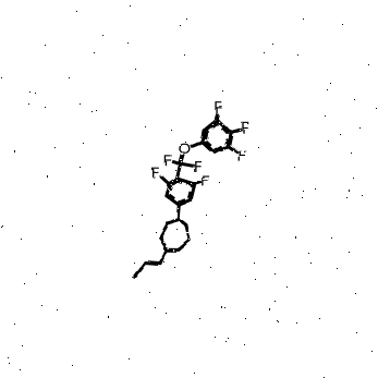 CCCC1CCCC(c2cc(F)c(C(F)(F)Oc3cc(F)c(F)c(F)c3)c(F)c2)CC1